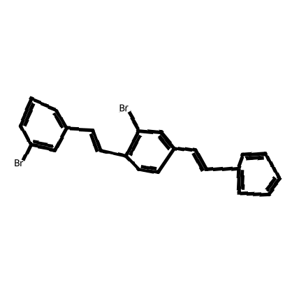 Brc1cccc(C=Cc2ccc(C=Cc3ccccc3)cc2Br)c1